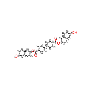 O=C(Oc1ccc2cc(O)ccc2c1)c1ccc(-c2ccc(C(=O)Oc3ccc4cc(O)ccc4c3)cc2)cc1